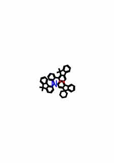 CC1(C)c2ccccc2-c2c(N(c3ccc4c(c3)C3(CCCCC3)c3ccccc3-4)c3ccccc3-c3cccc4c3C(C)(C)c3ccccc3-4)cccc21